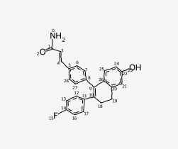 NC(=O)C=Cc1ccc(C2=C(c3ccc(F)cc3)CCc3cc(O)ccc32)cc1